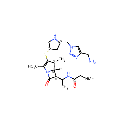 CNCC(=O)NC(C)[C@H]1C(=O)N2C(C(=O)O)=C(S[C@@H]3CN[C@H](Cn4cc(CN)nn4)C3)[C@H](C)[C@H]12